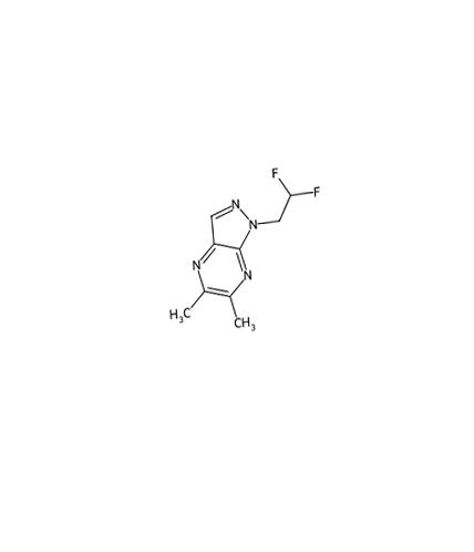 Cc1nc2cnn(CC(F)F)c2nc1C